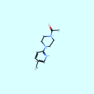 CC(C)C(=O)N1CCN(c2ccc(C(C)C)cn2)CC1